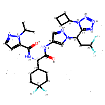 CC(C)n1nccc1C(=O)N[C@H](C(=O)Nc1cnn(C(CC(F)F)c2nnnn2C2CCC2)c1)C1CCC(F)(F)CC1